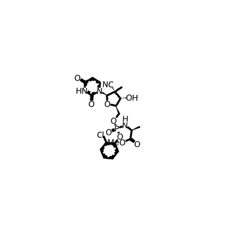 COC(=O)[C@H](C)NP(=O)(OC[C@H]1O[C@@H](n2ccc(=O)[nH]c2=O)[C@](C)(C#N)[C@@H]1O)Oc1ccccc1Cl